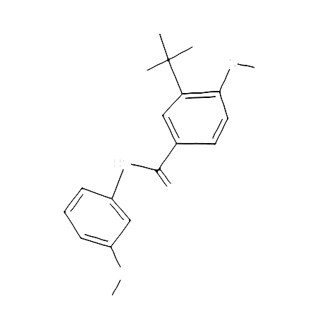 CNc1ccc(C(=O)Nc2cccc(OC)c2)cc1C(F)(F)F